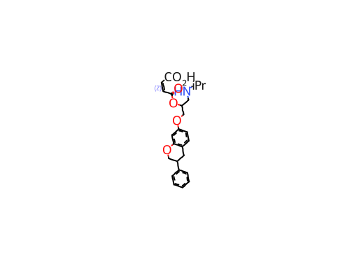 CC(C)NCC(COc1ccc2c(c1)OCC(c1ccccc1)C2)OC(=O)/C=C\C(=O)O